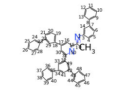 C/C(=N\c1cccc(-c2ccccc2)c1)c1cc(-c2cccc(-c3ccccc3)c2)cc(-c2cc(-c3ccccc3)cc(-c3ccccc3)c2)n1